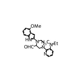 CCN(C)c1cccnc1N1CCN(c2cc3c(OC)cccc3[nH]2)C(C=O)C1